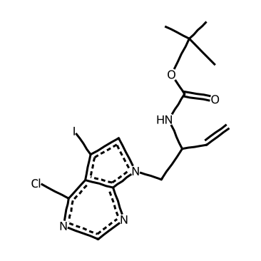 C=CC(Cn1cc(I)c2c(Cl)ncnc21)NC(=O)OC(C)(C)C